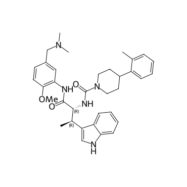 COc1ccc(CN(C)C)cc1NC(=O)[C@H](NC(=O)N1CCC(c2ccccc2C)CC1)[C@H](C)c1c[nH]c2ccccc12